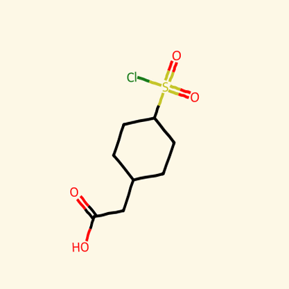 O=C(O)CC1CCC(S(=O)(=O)Cl)CC1